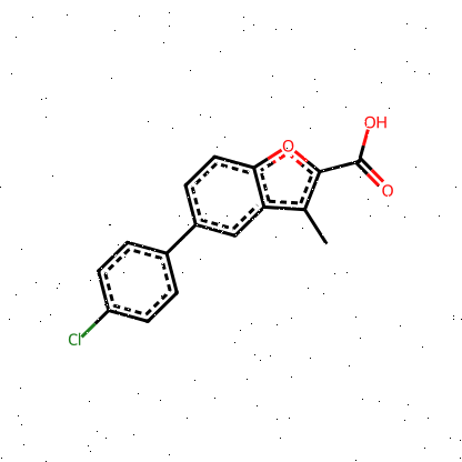 Cc1c(C(=O)O)oc2ccc(-c3ccc(Cl)cc3)cc12